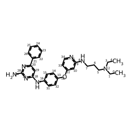 CCN(CC)CCCNc1cc(Oc2ccc(Nc3cc(-c4ccccc4)nc(N)n3)cc2)ccn1